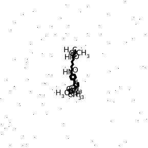 CC(C)S(=O)(=O)NCCCCC(=O)Nc1ccc(N2CCC(O[Si](C)(C)C(C)(C)C)C2)cc1